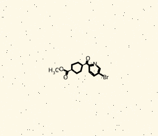 COC(=O)[C@H]1CC[C@@H](C(=O)c2ccc(Br)cn2)CC1